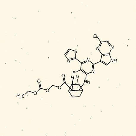 CCOC(=O)OCOC(=O)[C@H]1C2CCC(CC2)[C@@H]1Nc1nc(-c2c[nH]c3ncc(Cl)nc23)nc(-c2nccs2)c1F